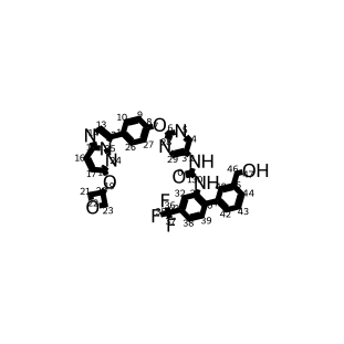 O=C(Nc1cnc(Oc2ccc(-c3cnc4ccc(OC5COC5)nn34)cc2)nc1)Nc1cc(C(F)(F)F)ccc1-c1cccc(CO)c1